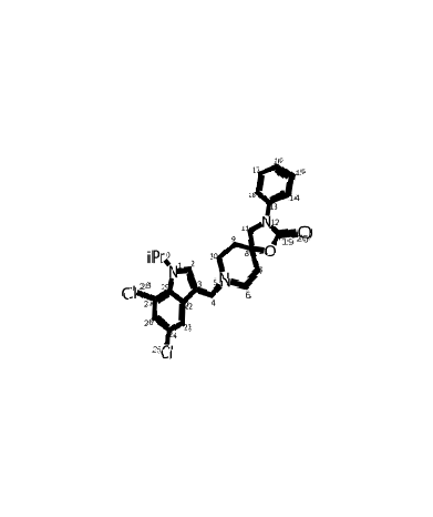 CC(C)n1cc(CN2CCC3(CC2)CN(c2ccccc2)C(=O)O3)c2cc(Cl)cc(Cl)c21